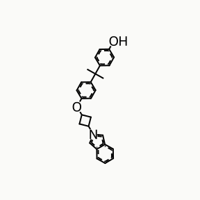 CC(C)(c1ccc(O)cc1)c1ccc(OC2CC(n3cc4ccccc4c3)C2)cc1